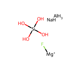 O[Si](O)(O)O.[AlH3].[F][Mg+].[NaH]